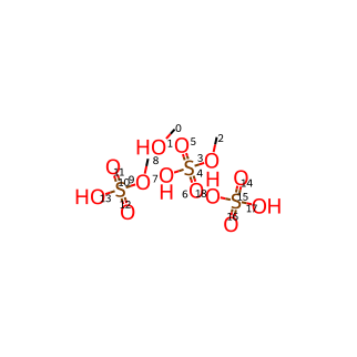 CO.COS(=O)(=O)O.COS(=O)(=O)O.O=S(=O)(O)O